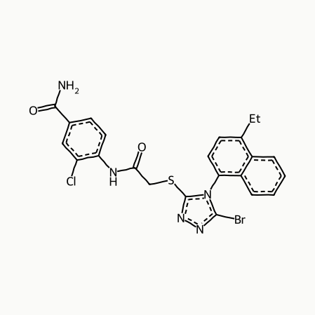 CCc1ccc(-n2c(Br)nnc2SCC(=O)Nc2ccc(C(N)=O)cc2Cl)c2ccccc12